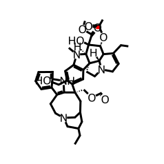 CCC1=CCN2CC[C@]34c5cc([C@@]6(COC=O)CC7CC(CC)CN(CCc8c6[nH]c6ccccc86)C7)c(CO)cc5N(C)[C@H]3C(O)(C(=O)OC)[C@H](OC(C)=O)C1[C@H]24